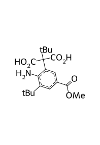 COC(=O)c1cc(C(C)(C)C)c(N)c(C(C(=O)O)(C(=O)O)C(C)(C)C)c1